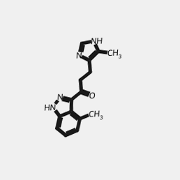 Cc1[nH]cnc1CCC(=O)c1n[nH]c2cccc(C)c12